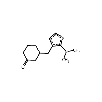 CN(C)c1sccc1CC1CCCC(=O)C1